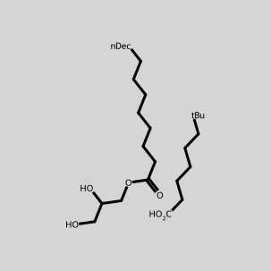 CC(C)(C)CCCCCC(=O)O.CCCCCCCCCCCCCCCCCC(=O)OCC(O)CO